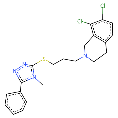 Cn1c(SCCCN2CCc3ccc(Cl)c(Cl)c3C2)nnc1-c1ccccc1